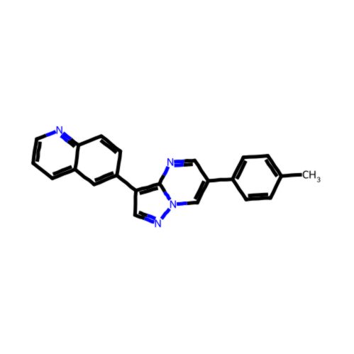 Cc1ccc(-c2cnc3c(-c4ccc5ncccc5c4)cnn3c2)cc1